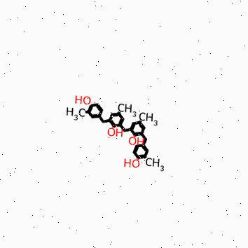 Cc1cc(Cc2ccc(O)c(C)c2)c(O)c(Cc2cc(C)cc(Cc3ccc(O)c(C)c3)c2O)c1